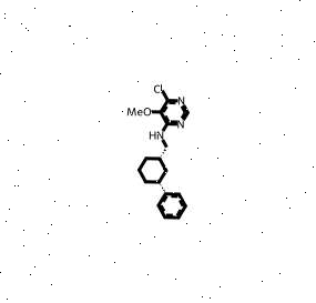 COc1c(Cl)ncnc1NC[C@H]1CCC[C@@H](c2ccccc2)C1